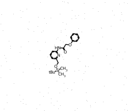 CC(C)(C)[Si](C)(C)OCc1cccc(NC(=O)COc2ccccc2)n1